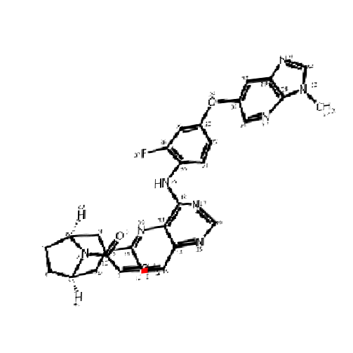 C=CC(=O)N1[C@@H]2CC[C@H]1C[C@@H](c1ccc3ncnc(Nc4ccc(Oc5cnc6c(c5)ncn6C)cc4F)c3n1)C2